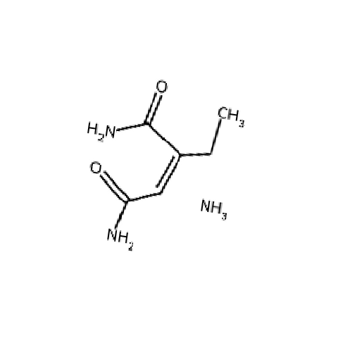 CCC(=CC(N)=O)C(N)=O.N